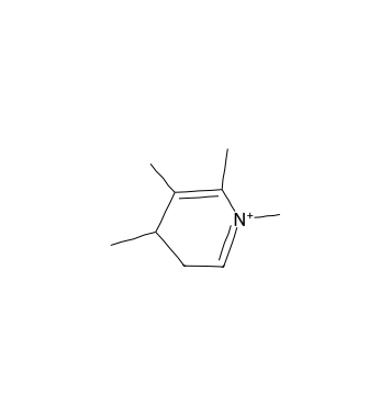 CC1=C(C)[N+](C)=CCC1C